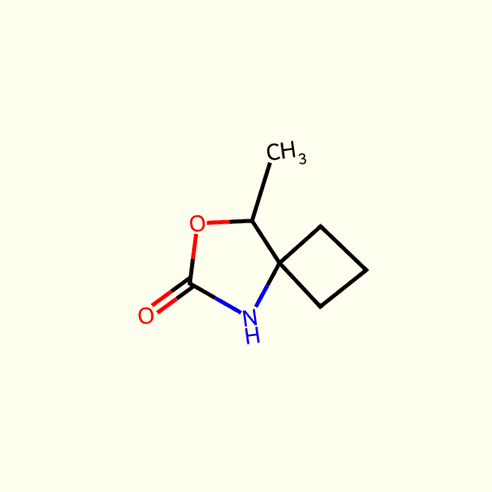 CC1OC(=O)NC12CCC2